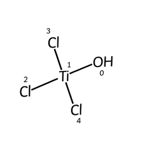 [OH][Ti]([Cl])([Cl])[Cl]